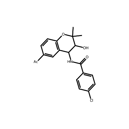 CC(=O)c1ccc2c(c1)C(NC(=O)c1ccc(Cl)cc1)C(O)C(C)(C)O2